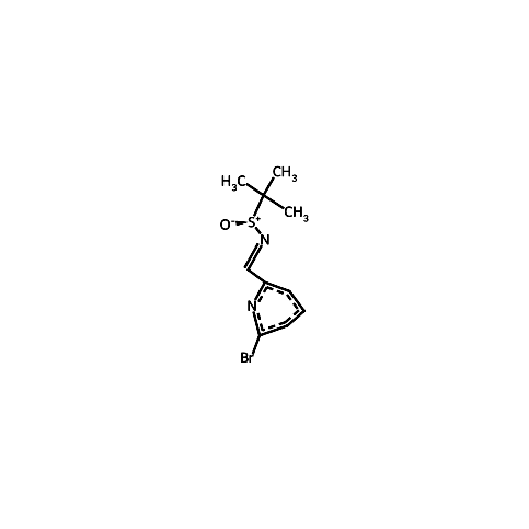 CC(C)(C)[S@+]([O-])N=Cc1cccc(Br)n1